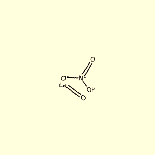 O=[N+]([O-])O.[O]=[La]